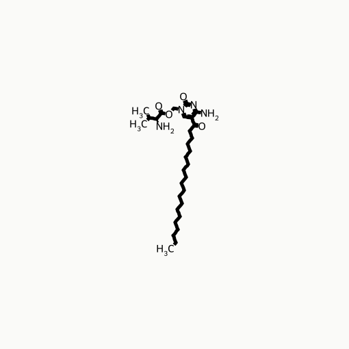 CCCCCCCCCCCCCCCCCCCC(=O)c1cn(COC(=O)[C@@H](N)C(C)C)c(=O)nc1N